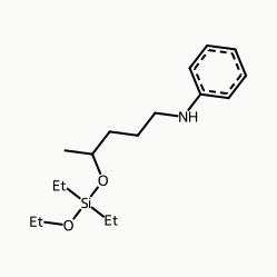 CCO[Si](CC)(CC)OC(C)CCCNc1ccccc1